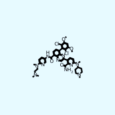 COc1cc(OC)c(Cl)c(-c2ccc(C(=O)Nc3ccc(N(C)CCN(C)C)nc3)c3ncc(-c4ccc(N(C)C5CCN(C)CC5)nc4C(N)=O)nc23)c1Cl